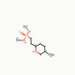 CCOP(=O)(CCC1CCC(OC(C)=O)CO1)OCC